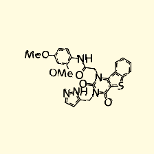 COc1ccc(NC(=O)Cn2c(=O)n(Cc3ccn[nH]3)c(=O)c3sc4ccccc4c32)c(OC)c1